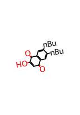 CCCCc1cc2c(cc1CCCC)C(=O)C(O)=CC2=O